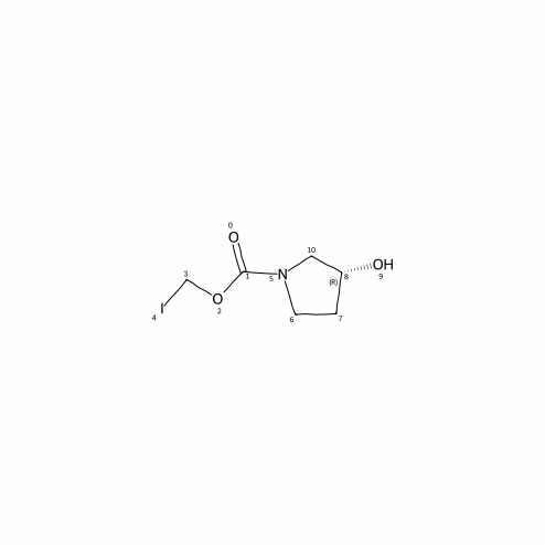 O=C(OCI)N1CC[C@@H](O)C1